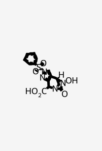 O=C(O)C1c2nn(S(=O)(=O)c3ccccc3)cc2[C@H]2CN1C(=O)N2O